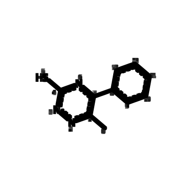 Cc1nnc(S)nc1-c1ccccc1